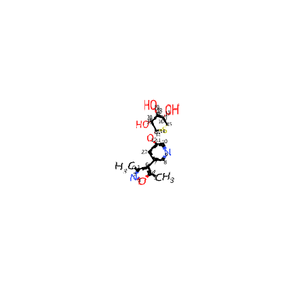 Cc1noc(C)c1-c1cncc(O[C@H]2SC[C@@H](O)[C@H](O)[C@H]2O)c1